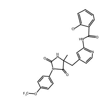 CC1(Cc2ccnc(NC(=O)c3ccccc3Cl)c2)NC(=O)N(c2ccc(OC(F)(F)F)cc2)C1=O